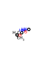 Cc1ccccc1Oc1ccc(NC(=O)Nc2ccccc2)cc1C